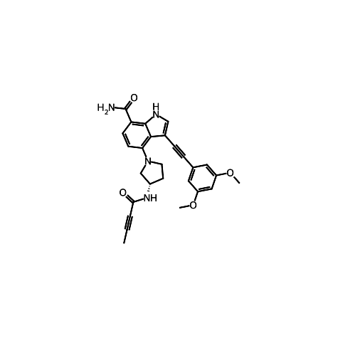 CC#CC(=O)N[C@H]1CCN(c2ccc(C(N)=O)c3[nH]cc(C#Cc4cc(OC)cc(OC)c4)c23)C1